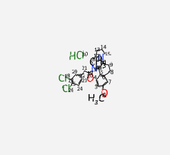 COc1ccc2c(c1)CC[C@@H](N1CCCC1)[C@@H]2N(C)C(=O)Cc1ccc(Cl)c(Cl)c1.Cl